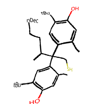 CCCCCCCCCCCCC(C)C(CS)(c1cc(C(C)(C)C)c(O)cc1C)c1cc(C(C)(C)C)c(O)cc1C